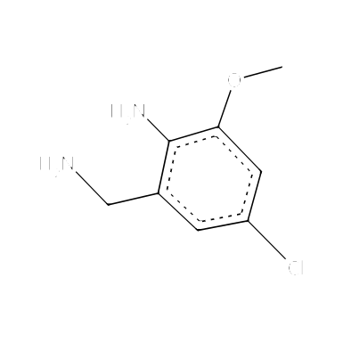 COc1cc(Cl)cc(CN)c1N